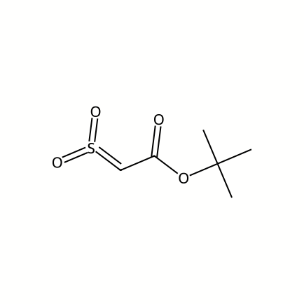 CC(C)(C)OC(=O)C=S(=O)=O